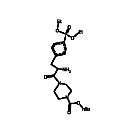 CCCCOC(=O)N1CCN(C(=O)C(N)Cc2ccc(P(=O)(OCC)OCC)cc2)CC1